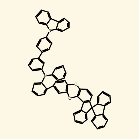 c1ccc(N(c2cccc(-c3ccc(-n4c5ccccc5c5ccccc54)cc3)c2)c2ccccc2-c2ccc3c(c2)Oc2c(ccc4c2-c2ccccc2C42c4ccccc4-c4ccccc42)O3)cc1